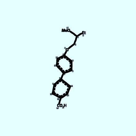 CCC(COc1ccc(-c2ccc(C(=O)O)cc2)cc1)OC